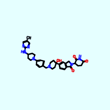 N#Cc1cnc(NC2CCN(c3ccc(CN4CCC(O)(c5ccc6c(c5)CN(C5CCC(=O)NC5=O)C6=O)CC4)cc3)CC2)nc1